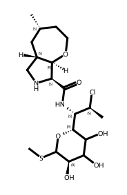 CSC1O[C@H]([C@H](NC(=O)[C@H]2NC[C@@H]3C[C@H](C)CCO[C@H]32)[C@H](C)Cl)C(O)C(O)[C@H]1O